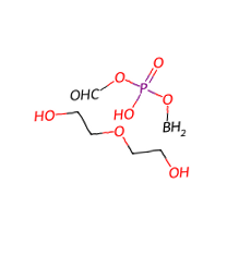 BOP(=O)(O)OC=O.OCCOCCO